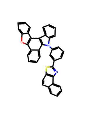 c1cc(-c2nc3c(ccc4ccccc43)s2)cc(-n2c3ccccc3c3c4c5ccccc5oc4c4ccccc4c32)c1